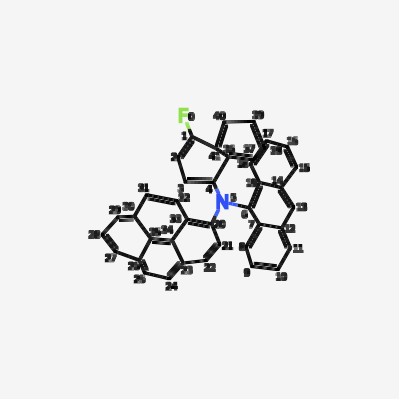 Fc1ccc(N(c2c3ccccc3cc3ccccc23)c2ccc3ccc4cccc5ccc2c3c45)c2ccccc12